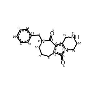 O=C1c2c3n(c(=O)n2CCCN1Cc1ccccc1)CCNC3